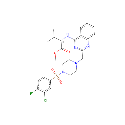 COC(=O)[C@@H](Nc1nc(CN2CCN(S(=O)(=O)c3ccc(F)c(Cl)c3)CC2)nc2ccccc12)C(C)C